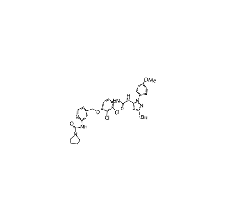 COc1ccc(-n2nc(C(C)(C)C)cc2NC(=O)Nc2ccc(OCc3ccnc(NC(=O)N4CCCC4)c3)c(Cl)c2Cl)cc1